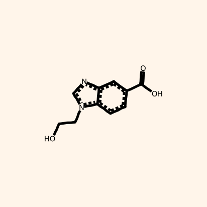 O=C(O)c1ccc2c(c1)ncn2CCO